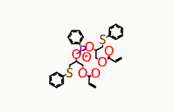 C=CC(=O)OCC(CSc1ccccc1)OP(=O)(OC(COC(=O)C=C)CSc1ccccc1)c1ccccc1